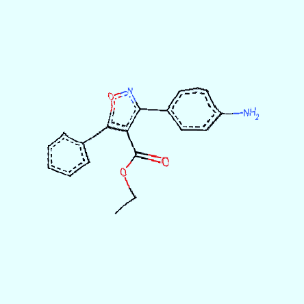 CCOC(=O)c1c(-c2ccc(N)cc2)noc1-c1ccccc1